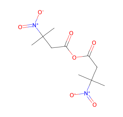 CC(C)(CC(=O)OC(=O)CC(C)(C)[N+](=O)[O-])[N+](=O)[O-]